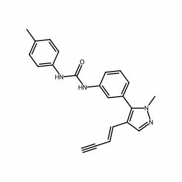 C#C/C=C/c1cnn(C)c1-c1cccc(NC(=O)Nc2ccc(C)cc2)c1